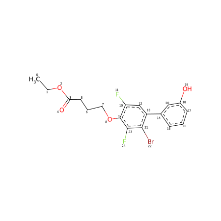 CCOC(=O)CCCOc1c(F)cc(-c2cccc(O)c2)c(Br)c1F